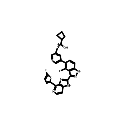 OC(Nc1cncc(-c2ccc3[nH]nc(-c4nc5c(-c6ccc(F)s6)nccc5[nH]4)c3c2F)c1)C1CCC1